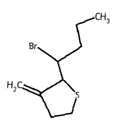 C=C1CCSC1C(Br)CCC